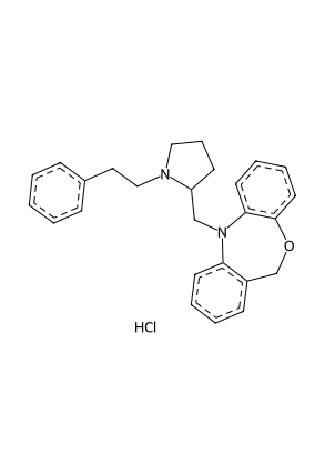 Cl.c1ccc(CCN2CCCC2CN2c3ccccc3COc3ccccc32)cc1